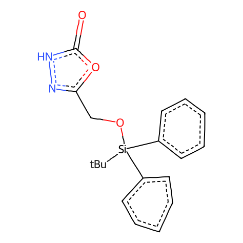 CC(C)(C)[Si](OCc1n[nH]c(=O)o1)(c1ccccc1)c1ccccc1